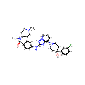 CN1CCC(N(C)C(=O)c2ccc(Nc3nc4c(N5CCC(O)(c6cccc(Cl)c6)CC5)cccn4n3)cc2)CC1